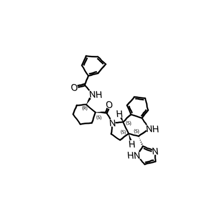 O=C(N[C@@H]1CCCC[C@@H]1C(=O)N1CC[C@H]2[C@@H](c3ncc[nH]3)Nc3ccccc3[C@H]21)c1ccccc1